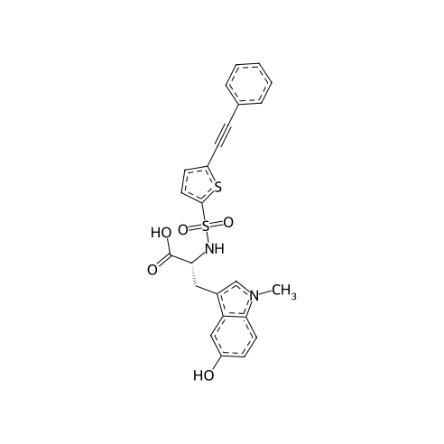 Cn1cc(C[C@@H](NS(=O)(=O)c2ccc(C#Cc3ccccc3)s2)C(=O)O)c2cc(O)ccc21